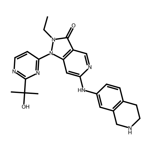 CCn1c(=O)c2cnc(Nc3ccc4c(c3)CNCC4)cc2n1-c1ccnc(C(C)(C)O)n1